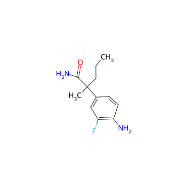 CCCC(C)(C(N)=O)c1ccc(N)c(F)c1